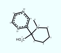 CN1CCCCC1(C(=O)O)c1cnccn1